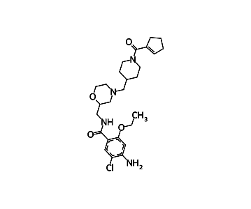 CCOc1cc(N)c(Cl)cc1C(=O)NCC1CN(CC2CCN(C(=O)C3=CCCC3)CC2)CCO1